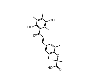 Cc1cc(C=CC(=O)c2c(C)c(O)c(C)c(C)c2O)cc(C)c1OC(C)(C)C(=O)O